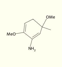 COC1=CCC(C)(OC)C=C1N